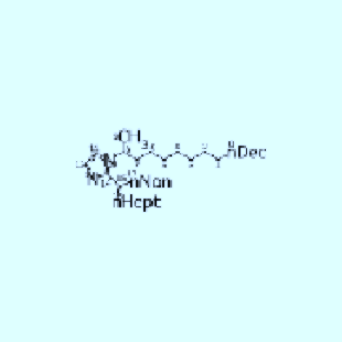 CCCCCCCCCCCCCCCCCC(C)n1ccnc1C(CCCCCCC)CCCCCCCCC